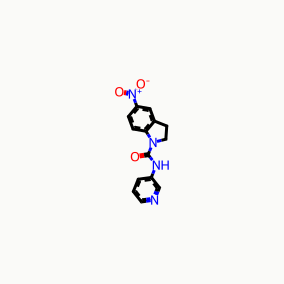 O=C(Nc1cccnc1)N1CCc2cc([N+](=O)[O-])ccc21